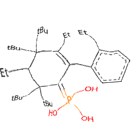 CCC1=C(c2ccccc2CC)C(=P(O)(O)O)C(C(C)(C)C)(C(C)(C)C)C(CC)C1(C(C)(C)C)C(C)(C)C